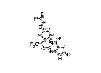 O=C1Cc2c(nc(SCC(F)(F)F)n(-c3ccc(OCC(F)F)cc3)c2=O)N1